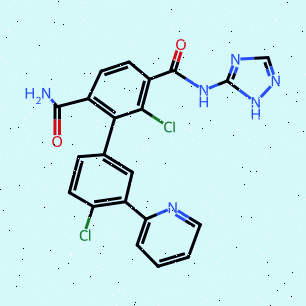 NC(=O)c1ccc(C(=O)Nc2ncn[nH]2)c(Cl)c1-c1ccc(Cl)c(-c2ccccn2)c1